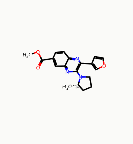 COC(=O)c1ccc2nc(-c3ccoc3)c(N3CCC[C@@H]3C)nc2c1